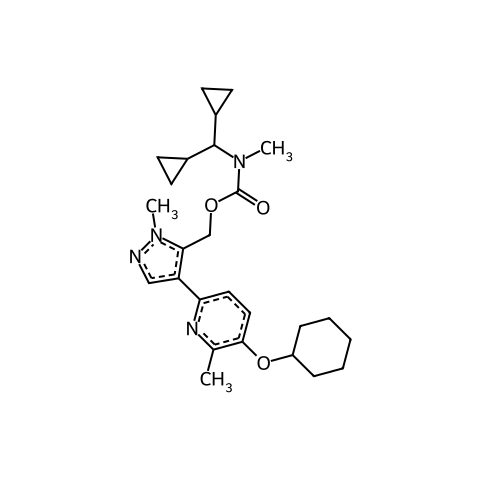 Cc1nc(-c2cnn(C)c2COC(=O)N(C)C(C2CC2)C2CC2)ccc1OC1CCCCC1